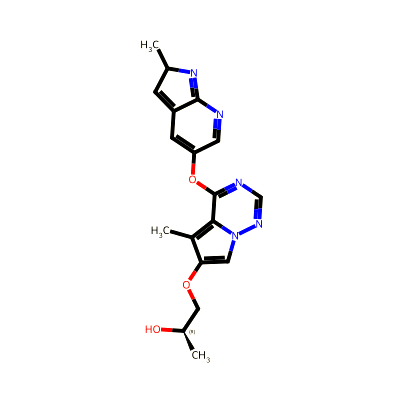 Cc1c(OC[C@@H](C)O)cn2ncnc(Oc3cnc4c(c3)=CC(C)N=4)c12